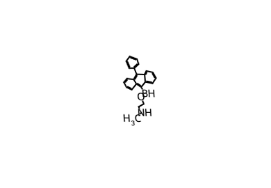 CNCCOBc1c2ccccc2c(-c2ccccc2)c2ccccc12